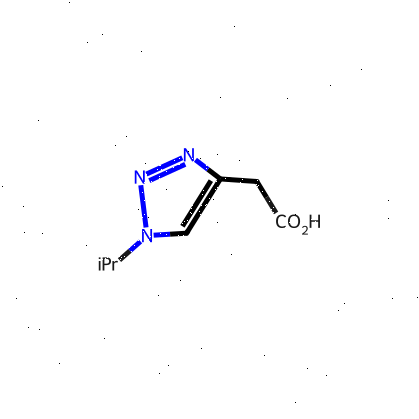 CC(C)n1cc(CC(=O)O)nn1